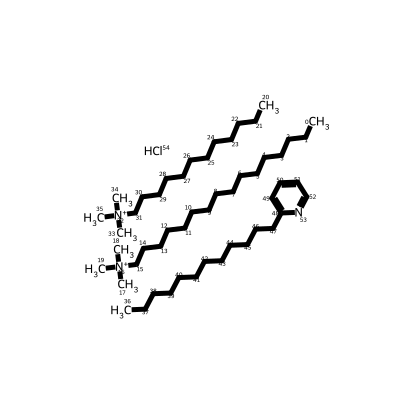 CCCCCCCCCCCCCCCC[N+](C)(C)C.CCCCCCCCCCCC[N+](C)(C)C.CCCCCCCCCCCCc1ccccn1.Cl